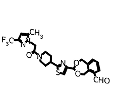 Cc1cc(C(F)(F)F)nn1CC(=O)N1CCC(c2nc(C3OCc4cccc(C=O)c4CO3)cs2)CC1